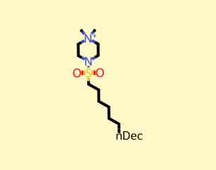 CCCCCCCCCCCCCCCCS(=O)(=O)N1CC[N+](C)(C)CC1